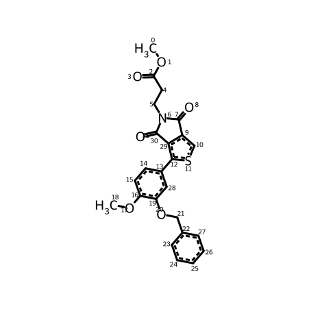 COC(=O)CCN1C(=O)c2csc(-c3ccc(OC)c(OCc4ccccc4)c3)c2C1=O